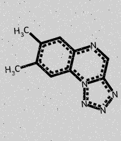 Cc1cc2ncc3nnnn3c2cc1C